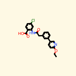 CCOc1ccc(-c2cccc(CC(=O)Nc3cc(Cl)ccc3C(=O)O)c2)cn1